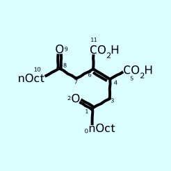 CCCCCCCCC(=O)CC(C(=O)O)=C(CC(=O)CCCCCCCC)C(=O)O